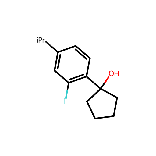 CC(C)c1ccc(C2(O)CCCC2)c(F)c1